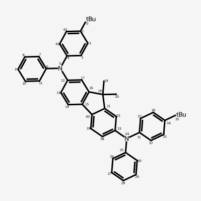 CC(C)(C)c1ccc(N(c2ccccc2)c2ccc3c(c2)C(C)(C)c2cc(N(c4ccccc4)c4ccc(C(C)(C)C)cc4)ccc2-3)cc1